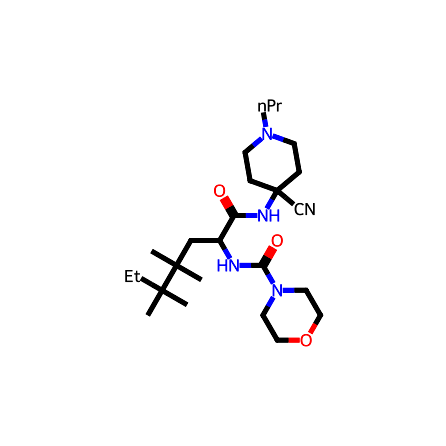 CCCN1CCC(C#N)(NC(=O)C(CC(C)(C)C(C)(C)CC)NC(=O)N2CCOCC2)CC1